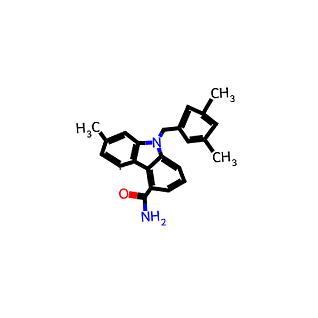 Cc1cc(C)cc(Cn2c3cc(C)c[c]c3c3c(C(N)=O)cccc32)c1